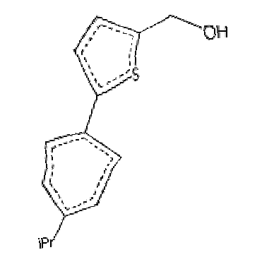 CC(C)c1ccc(-c2ccc(CO)s2)cc1